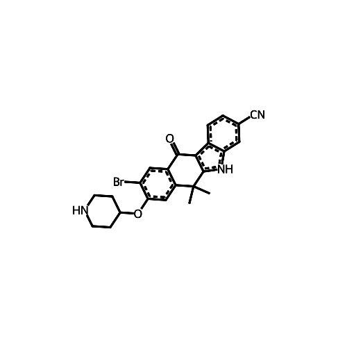 CC1(C)c2cc(OC3CCNCC3)c(Br)cc2C(=O)c2c1[nH]c1cc(C#N)ccc21